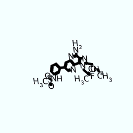 CCOCc1nc2c(N)nc3cc(-c4cccc(NS(C)(=O)=O)c4)cnc3c2n1CC(C)(C)F